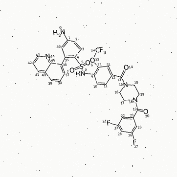 Nc1ccc(S(=O)(=O)Nc2ccc(C(=O)N3CCN(C(=O)c4cc(F)cc(F)c4)CC3)cc2OC(F)(F)F)c(-c2cccc3cccnc23)c1